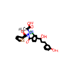 C[C@H](NN(C(=O)c1cccs1)C(=O)c1ccc(C(O)CCc2cccc(O)c2)cc1Cl)C(=O)O